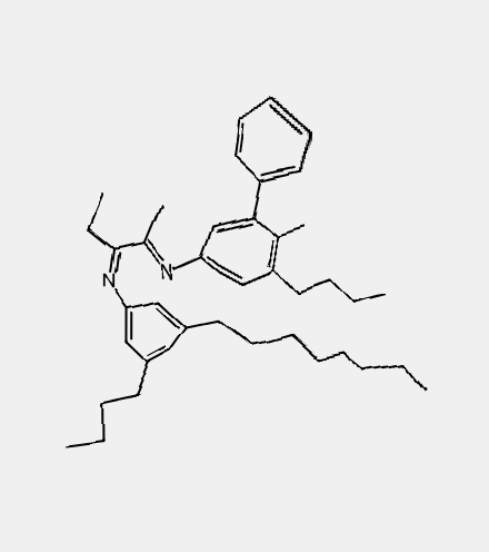 CCCCCCCCc1cc(CCCC)cc(N=C(CC)C(C)=Nc2cc(CCCC)c(C)c(-c3ccccc3)c2)c1